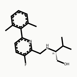 Cc1cccc(C)c1-c1ccc(F)c(CN[C@@H](CO)C(C)C)n1